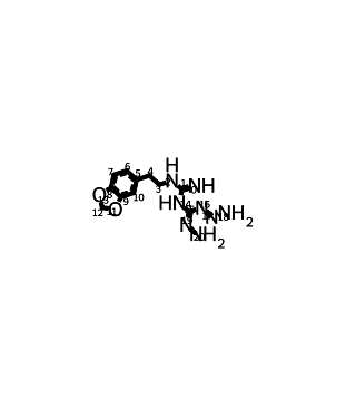 N=C(NCCc1ccc2c(c1)OCO2)NC(N=NN)=NN